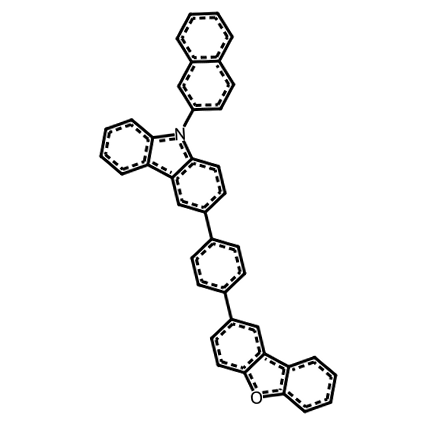 c1ccc2cc(-n3c4ccccc4c4cc(-c5ccc(-c6ccc7oc8ccccc8c7c6)cc5)ccc43)ccc2c1